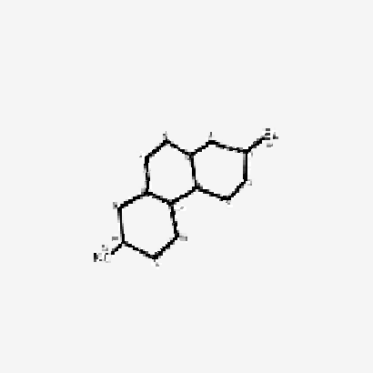 CCC1CCC2C(CCC3CC(C#N)CCC32)C1